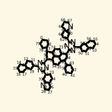 c1ccc(-c2cc(-c3nc(-c4ccc5ccccc5c4)nc(-c4ccc5cccnc5c4)n3)c3ccc4c(-c5ccccc5)cc(-c5nc(-c6ccc7ccccc7c6)nc(-c6ccc7cccnc7c6)n5)c5ccc2c3c45)cc1